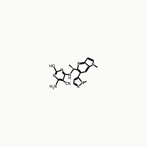 C[C@H](Nc1nc(O)nc(N)c1C#N)c1nc2ccn(C)c2cc1-c1ccnn1C